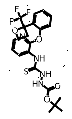 CC(C)(C)OC(=O)NNC(=S)Nc1cccnc1Oc1ccccc1C1(C(F)(F)F)CCO1